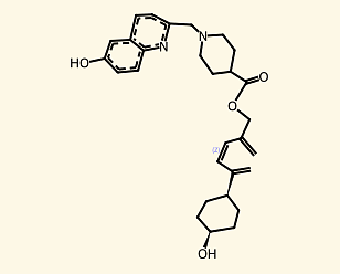 C=C(/C=C\C(=C)[C@H]1CC[C@@H](O)CC1)COC(=O)C1CCN(Cc2ccc3cc(O)ccc3n2)CC1